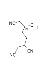 C[C@@H](CC#N)CCC(C#N)CC#N